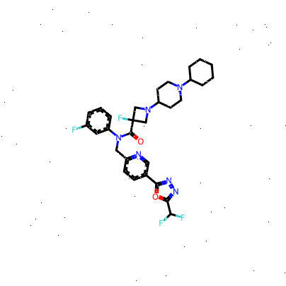 O=C(N(Cc1ccc(-c2nnc(C(F)F)o2)cn1)c1cccc(F)c1)C1(F)CN(C2CCN(C3CCCCC3)CC2)C1